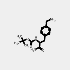 CC(C)(C)OC(=O)NC(Cc1ccc(CN)cc1)C(N)=O